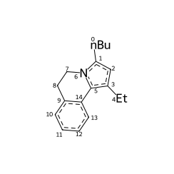 CCCCc1cc(CC)c2n1CCc1ccccc1-2